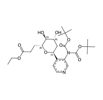 CCOC(=O)CC[C@H]1O[C@H](c2ccncc2N(C(=O)OC(C)(C)C)C(=O)OC(C)(C)C)C[C@@H](O)[C@@H]1O